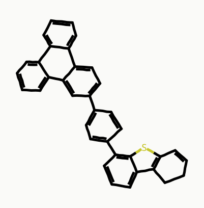 C1=Cc2sc3c(-c4ccc(-c5ccc6c7ccccc7c7ccccc7c6c5)cc4)cccc3c2CC1